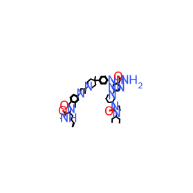 C=CCCC(C(=O)NC)N1Cc2cc(N3CC(N4CCC(C)(c5ccc(Nc6nc(N7CCCC(N8CCN(C(CC)CC)C8=O)C7)cnc6C(N)=O)cc5)CC4)C3)ccc2C1=O